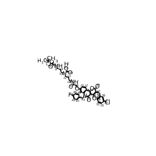 CC(C)(C)OC(=O)NCCCN(CCCNC(=O)COc1ccc2c3oc(=O)c(Sc4cccc(Cl)c4)c(O)c3c(=O)n(Cc3ccc(F)cc3)c2c1)C(=O)O